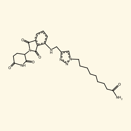 NC(=O)CCCCCCCCn1cc(CNc2cccc3c2C(=O)N(C2CCC(=O)NC2=O)C3=O)nn1